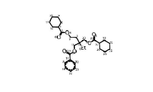 CCC(CCOC(=O)C1CCCCC1)(COC(=O)c1ccccc1)COC(=O)C1CCCCC1